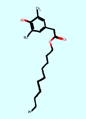 Cc1cc(CC(=O)OCCCCCCCCCC(C)C)cc(C(C)(C)C)c1O